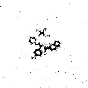 COc1ccc(C(CCN2CCCCC2)NC(=O)c2ccc3ccccc3n2)cc1.O=C(O)C(=O)O